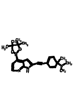 CN(C)C1(C)C=CC(C#Cc2cc3c(B4OC(C)(C)C(C)(C)O4)ccnc3[nH]2)=CC1